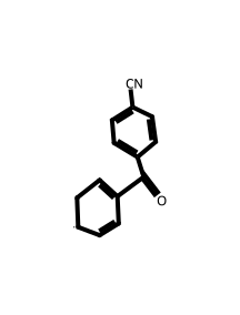 N#Cc1ccc(C(=O)C2=CC[CH]C=C2)cc1